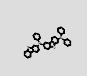 c1ccc(N(c2ccccc2)c2ccc3c(c2)oc2ccc(N(c4ccccc4)c4ccc5c(c4)sc4ccccc45)cc23)cc1